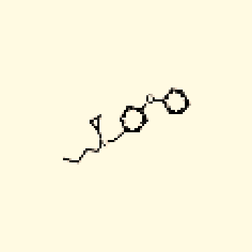 CCCCN(Cc1ccc(Oc2ccccc2)cc1)C1CC1